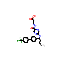 CCCC(Nc1cnc(C(=O)NCCC(=O)O)cn1)c1ccc(-c2ccc(C(F)(F)F)cc2)cc1